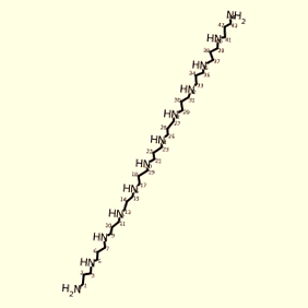 NCCCNCCCNCCCNCCCNCCCNCCCNCCCNCCCNCCCNCCCNCCCN